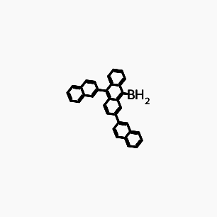 Bc1c2ccccc2c(-c2ccc3ccccc3c2)c2ccc(-c3ccc4ccccc4c3)cc12